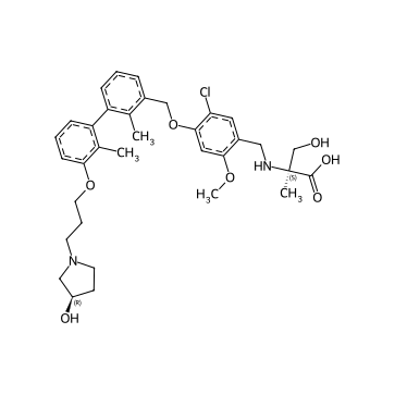 COc1cc(OCc2cccc(-c3cccc(OCCCN4CC[C@@H](O)C4)c3C)c2C)c(Cl)cc1CN[C@@](C)(CO)C(=O)O